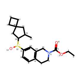 CCOC(=O)N1CCc2ccc([S+]([O-])C3CC4(CCC4)CC3C)cc2C1